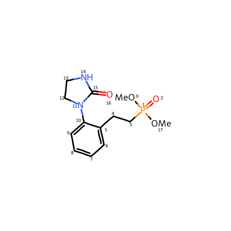 COP(=O)(CCc1ccccc1N1CCNC1=O)OC